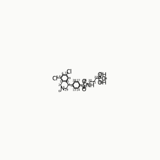 CN1Cc2c(Cl)cc(Cl)cc2C(c2ccc(S(=O)(=O)NCCCP(=O)(O)O)cc2)C1